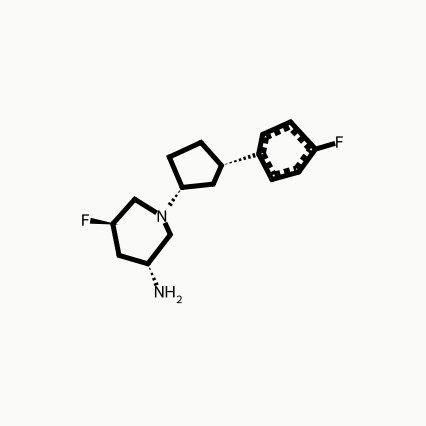 N[C@@H]1C[C@@H](F)CN([C@@H]2CC[C@H](c3ccc(F)cc3)C2)C1